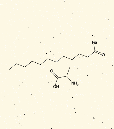 CC(N)C(=O)O.CCCCCCCCCCC[C](=O)[Na]